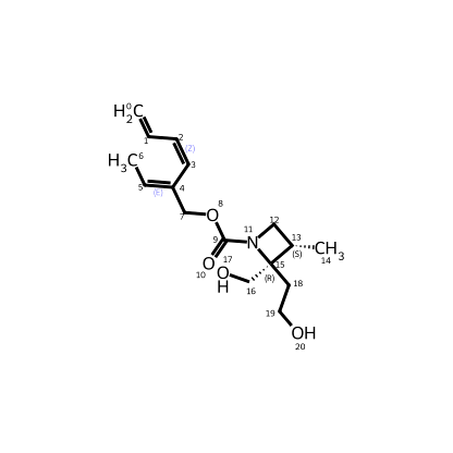 C=C/C=C\C(=C/C)COC(=O)N1C[C@H](C)[C@@]1(CO)CCO